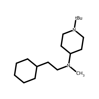 CN(CCC1CCCCC1)C1CCN(C(C)(C)C)CC1